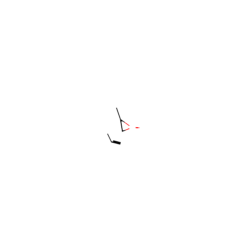 C=CC.CC1C[O+]1[O-]